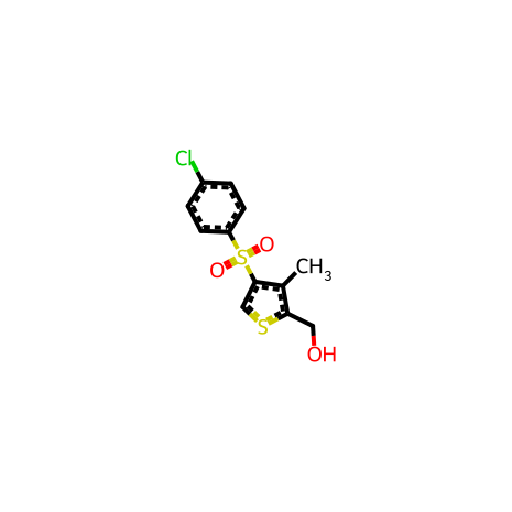 Cc1c(S(=O)(=O)c2ccc(Cl)cc2)csc1CO